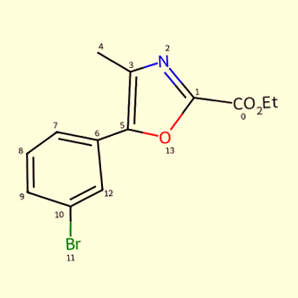 CCOC(=O)c1nc(C)c(-c2cccc(Br)c2)o1